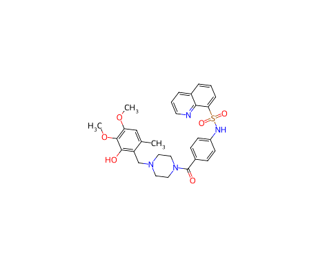 COc1cc(C)c(CN2CCN(C(=O)c3ccc(NS(=O)(=O)c4cccc5cccnc45)cc3)CC2)c(O)c1OC